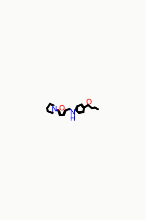 CCCC(=O)c1ccc(NCc2ccc(N3CCCCC3)o2)cc1